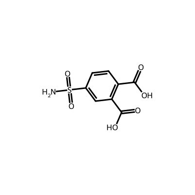 NS(=O)(=O)c1ccc(C(=O)O)c(C(=O)O)c1